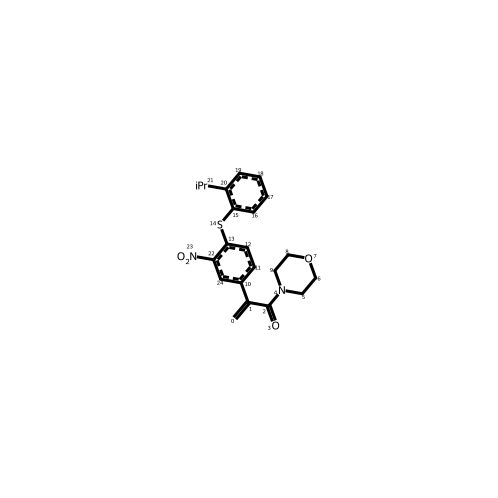 C=C(C(=O)N1CCOCC1)c1ccc(Sc2ccccc2C(C)C)c([N+](=O)[O-])c1